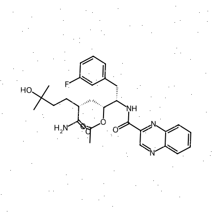 CC(=O)O[C@H](C[C@@H](CCC(C)(C)O)C(N)=O)[C@H](Cc1cccc(F)c1)NC(=O)c1cnc2ccccc2n1